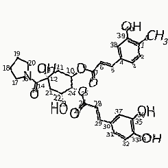 Cc1ccc(/C=C/C(=O)O[C@@H]2C[C@](O)(C(=O)N3CCCC3)C[C@@H](O)[C@H]2OC(=O)/C=C/c2ccc(O)c(O)c2)cc1O